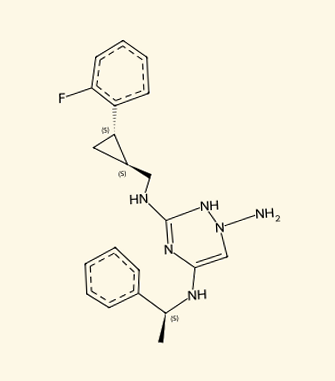 C[C@H](NC1=CN(N)NC(NC[C@H]2C[C@@H]2c2ccccc2F)=N1)c1ccccc1